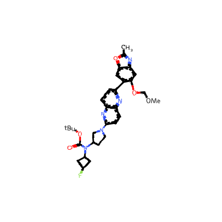 COCOc1cc2nc(C)oc2cc1-c1ccc2nc(N3CCC(N(C(=O)OC(C)(C)C)C4CC(F)C4)C3)ccc2n1